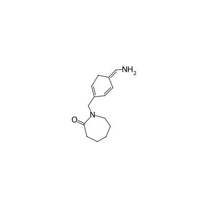 NC=C1C=CC(CN2CCCCCC2=O)=CC1